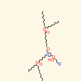 CCCCCCCCC(CCCCCC)OC(=O)CCCCCN1CC(OC(O)CCN(C)C)CC1COCCCCCCCC(=O)OC(CCCCCCCC)CCCCCCCC